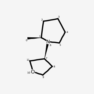 C[C@H]1CCCCN1[C@H]1CCOC1